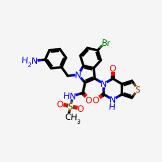 CS(=O)(=O)NC(=O)c1c(-n2c(=O)[nH]c3cscc3c2=O)c2cc(Br)ccc2n1Cc1cccc(N)c1